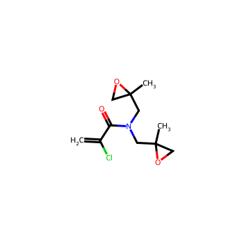 C=C(Cl)C(=O)N(CC1(C)CO1)CC1(C)CO1